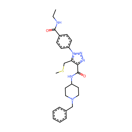 CCNC(=O)c1ccc(-n2nnc(C(=O)NC3CCN(Cc4ccccc4)CC3)c2CSC)cc1